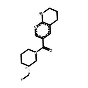 O=C(c1cnc2c(c1)CCCN2)N1CCC[C@@H](CF)C1